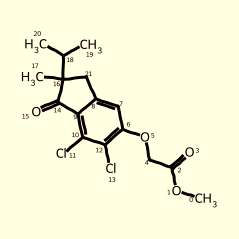 COC(=O)COc1cc2c(c(Cl)c1Cl)C(=O)C(C)(C(C)C)C2